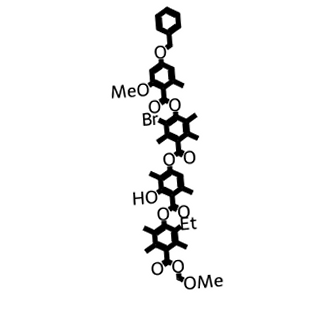 CCc1c(C)c(C(=O)OCOC)c(C)c(C)c1OC(=O)c1c(C)cc(OC(=O)c2c(C)c(C)c(OC(=O)c3c(C)cc(OCc4ccccc4)cc3OC)c(Br)c2C)c(C)c1O